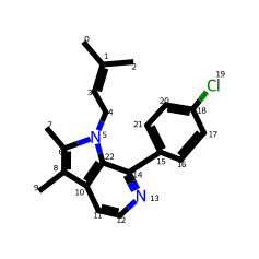 CC(C)=CCn1c(C)c(C)c2ccnc(-c3ccc(Cl)cc3)c21